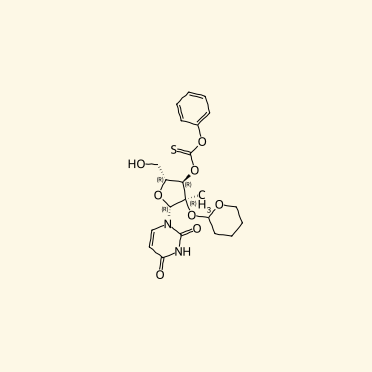 C[C@@]1(OC2CCCCO2)[C@H](OC(=S)Oc2ccccc2)[C@@H](CO)O[C@H]1n1ccc(=O)[nH]c1=O